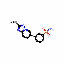 CC(=O)Nc1nc2ccc(-c3cccc(S(N)(=O)=O)c3)cn2n1